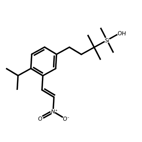 CC(C)c1ccc(CCC(C)(C)[Si](C)(C)O)cc1/C=C/[N+](=O)[O-]